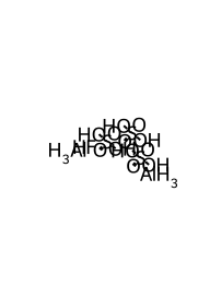 F.O=S(=O)(O)O.O=S(=O)(O)O.O=S(=O)(O)O.[AlH3].[AlH3]